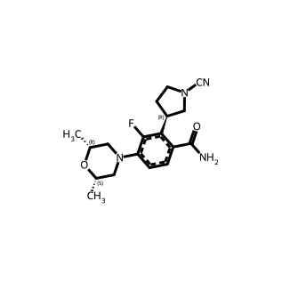 C[C@@H]1CN(c2ccc(C(N)=O)c([C@H]3CCN(C#N)C3)c2F)C[C@H](C)O1